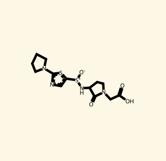 O=C(O)CN1CCC(N[S+]([O-])c2cnc(N3CCCC3)s2)C1=O